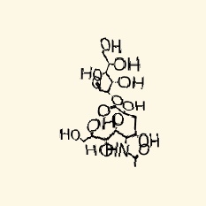 CC(=O)N[C@H]1[C@H]([C@H](O)[C@H](O)CO)O[C@](O)(C(=O)O[C@@H](C=O)[C@@H](O)[C@@H](O)[C@H](O)CO)C[C@@H]1O